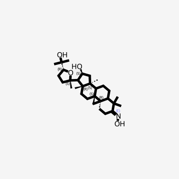 CC1(C)/C(=N/O)CC[C@]23C[C@]24CC[C@]2(C)C([C@]5(C)CC[C@H](C(C)(C)O)O5)[C@@H](O)C[C@@]2(C)C4CCC13